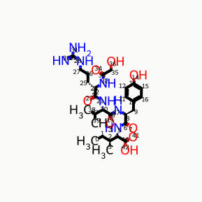 CC[C@H](C)[C@H](NC(=O)[C@H](Cc1ccc(O)cc1)NC(=O)[C@@H](NC(=O)[C@H](CCCNC(=N)N)NC(=O)CO)C(C)C)C(=O)O